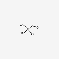 CCCCC(CC)(C[O])CCCC